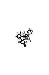 CC(C)(c1ccccc1-c1ccc(Br)cc1)C(C)(O)C(O)N1CCOCC1